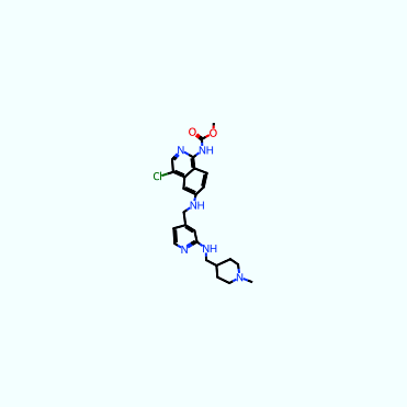 COC(=O)Nc1ncc(Cl)c2cc(NCc3ccnc(NCC4CCN(C)CC4)c3)ccc12